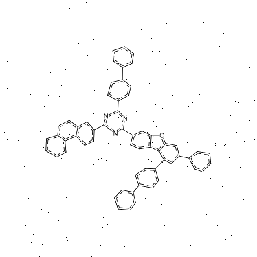 c1ccc(-c2ccc(-c3nc(-c4ccc5c(ccc6ccccc65)c4)nc(-c4ccc5c(c4)oc4cc(-c6ccccc6)cc(-c6ccc(-c7ccccc7)cc6)c45)n3)cc2)cc1